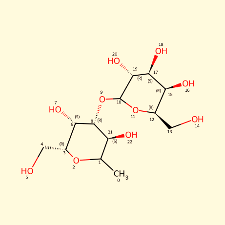 CC1O[C@H](CO)[C@H](O)[C@H](OC2O[C@H](CO)[C@H](O)[C@H](O)[C@H]2O)[C@H]1O